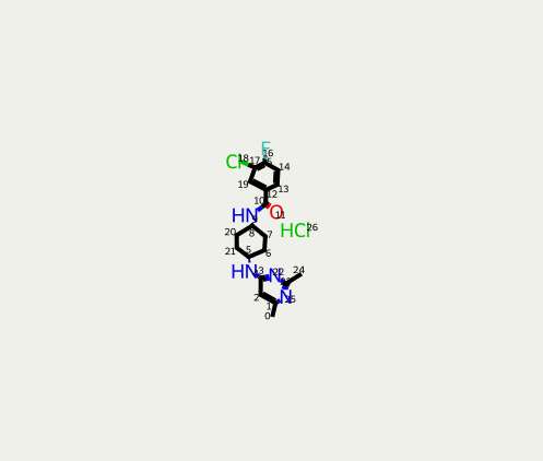 Cc1cc(N[C@H]2CC[C@@H](NC(=O)c3ccc(F)c(Cl)c3)CC2)nc(C)n1.Cl